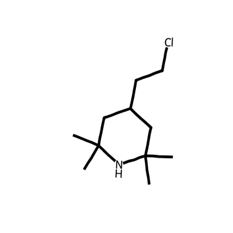 CC1(C)CC(CCCl)CC(C)(C)N1